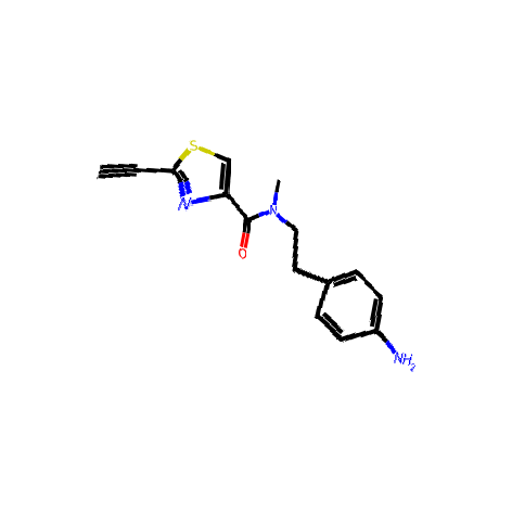 C#Cc1nc(C(=O)N(C)CCc2ccc(N)cc2)cs1